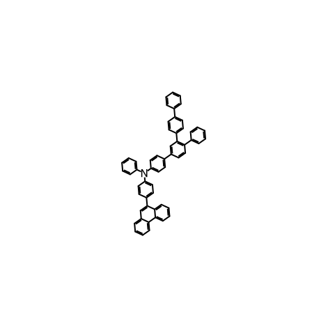 c1ccc(-c2ccc(-c3cc(-c4ccc(N(c5ccccc5)c5ccc(-c6cc7ccccc7c7ccccc67)cc5)cc4)ccc3-c3ccccc3)cc2)cc1